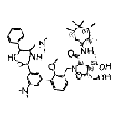 COc1c(CN2O[C@@H](CO)[C@@H]([C@H](C)O)[C@H]2C(=O)N[C@H]2C[C@@H](C)C(C)(C)[C@@H](C)[C@@H]2C)cccc1-c1cc(C(=O)NC(CN(C)C)C(O)c2ccccc2)cc(N(C)C)c1